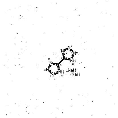 [NaH].[NaH].n1n[nH]c(-c2nnn[nH]2)n1